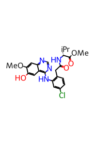 COC(=O)[C@H](NC(=O)Cc1ccc(Cl)cc1Nc1ncnc2cc(OC)c(O)cc12)C(C)C